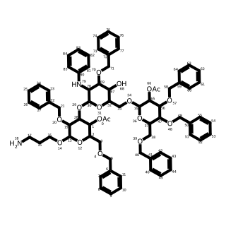 CC(=O)OC1C(COCc2ccccc2)OC(OCCCN)C(OCc2ccccc2)C1OC1OC(COC2OC(COCc3ccccc3)C(OCc3ccccc3)C(OCc3ccccc3)C2OC(C)=O)C(O)C(OCc2ccccc2)C1Nc1ccccc1